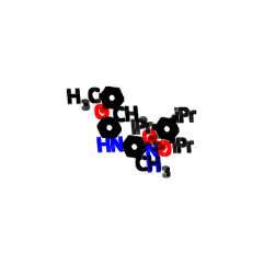 Cc1cc(Nc2ccc(Oc3c(C)cccc3C)cc2)ccc1NS(=O)(=O)c1c(C(C)C)cc(C(C)C)cc1C(C)C